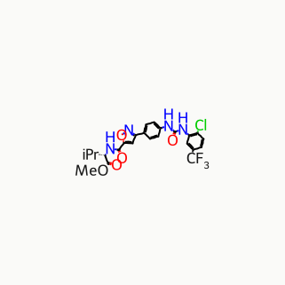 COC(=O)[C@@H](NC(=O)c1cc(-c2ccc(NC(=O)Nc3cc(C(F)(F)F)ccc3Cl)cc2)no1)C(C)C